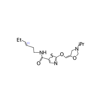 CC/C=C/CCNC(=O)c1cnc(OC=C2CN(C(C)C)CO2)s1